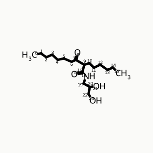 CCCCCCCC(=O)C(CCCCCC)C(=O)NCC(O)CO